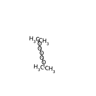 CCC(C)CCOCCOCCOCCOCCOCC(C)C